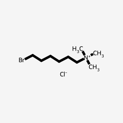 C[N+](C)(C)CCCCCCBr.[Cl-]